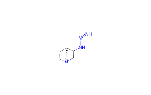 N=NNC1CN2CCC1CC2